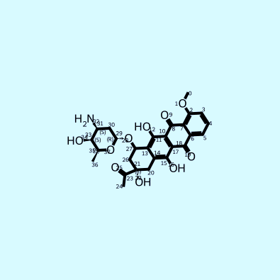 COc1cccc2c1C(=O)c1c(O)c3c(c(O)c1C2=O)C[C@@](O)(C(C)=O)CC3O[C@H]1C[C@H](N)[C@H](O)[C@H](C)O1